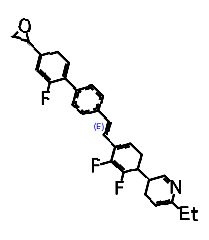 CCC1=CCC(C2CC=C(/C=C/c3ccc(C4=CCC(C5CO5)C=C4F)cc3)C(F)=C2F)C=N1